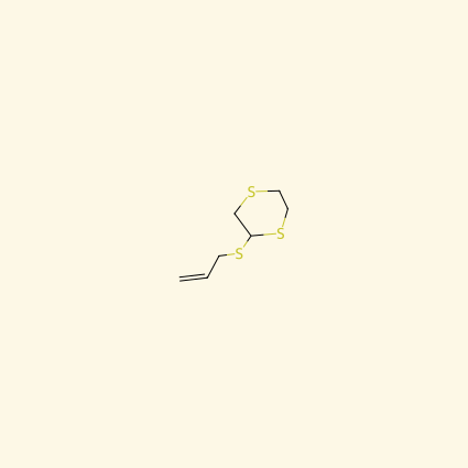 C=CCSC1CSCCS1